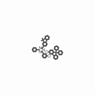 CC1(C)c2ccccc2-c2ccc(-c3nc(-c4ccccc4)nc(-c4cccc5c4Oc4ccc6c(c4O5)-c4ccccc4C6(c4ccccc4)c4ccccc4)n3)cc21